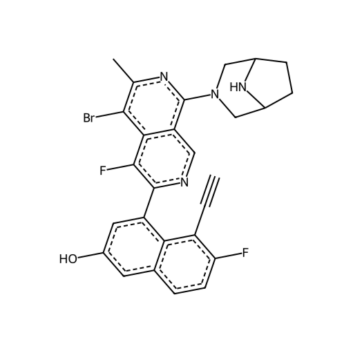 C#Cc1c(F)ccc2cc(O)cc(-c3ncc4c(N5CC6CCC(C5)N6)nc(C)c(Br)c4c3F)c12